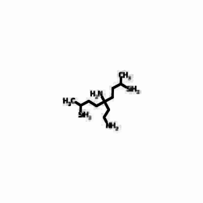 CC([SiH3])CCC(N)(CCN)CCC(C)[SiH3]